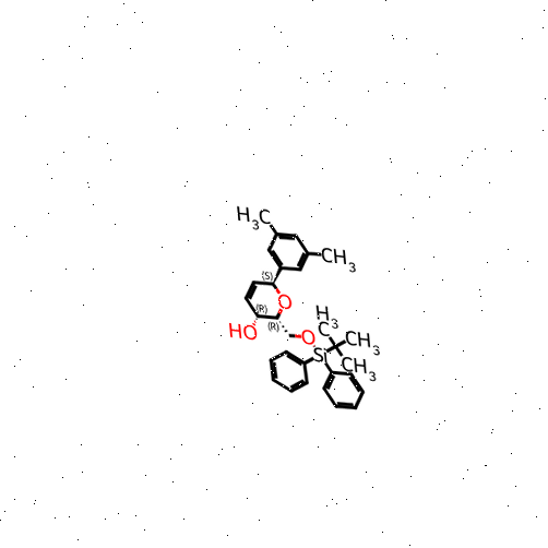 Cc1cc(C)cc([C@@H]2C=C[C@@H](O)[C@@H](CO[Si](c3ccccc3)(c3ccccc3)C(C)(C)C)O2)c1